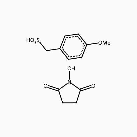 COc1ccc(CS(=O)(=O)O)cc1.O=C1CCC(=O)N1O